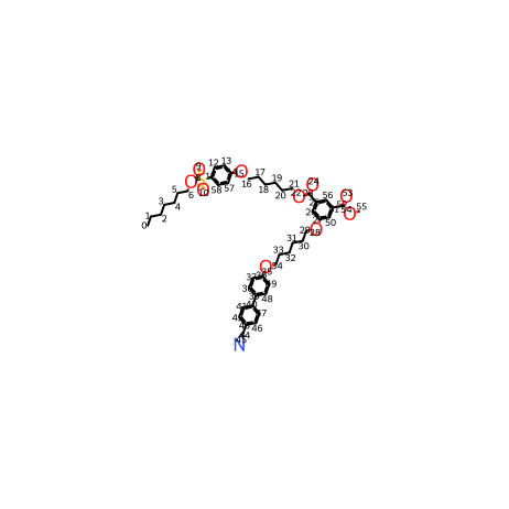 CCCCCCCOS(=O)(=O)c1ccc(OCCCCCCOC(=O)c2cc(OCCCCCCOc3ccc(-c4ccc(C#N)cc4)cc3)cc(C(=O)OC)c2)cc1